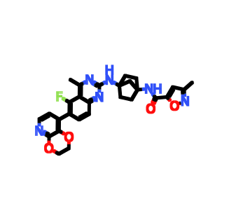 Cc1cc(C(=O)NC23CCC(Nc4nc(C)c5c(F)c(-c6ccnc7c6OCCO7)ccc5n4)(CC2)C3)on1